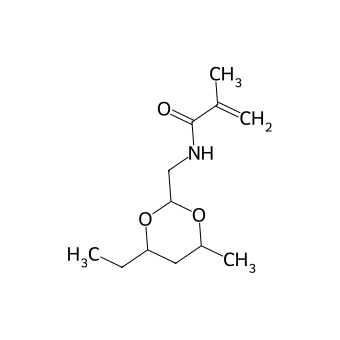 C=C(C)C(=O)NCC1OC(C)CC(CC)O1